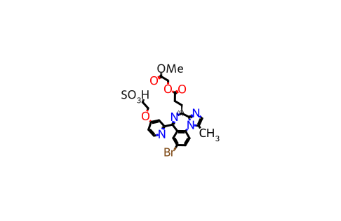 COC(=O)COC(=O)CC[C@@H]1N=C(c2cc(OCCS(=O)(=O)O)ccn2)c2cc(Br)ccc2-n2c(C)cnc21